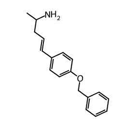 CC(N)CC=Cc1ccc(OCc2ccccc2)cc1